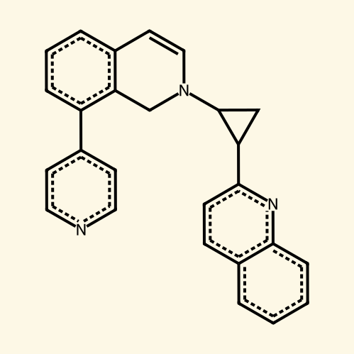 C1=CN(C2CC2c2ccc3ccccc3n2)Cc2c1cccc2-c1ccncc1